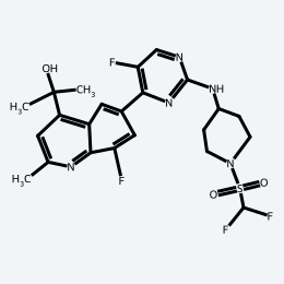 Cc1cc(C(C)(C)O)c2cc(-c3nc(NC4CCN(S(=O)(=O)C(F)F)CC4)ncc3F)cc(F)c2n1